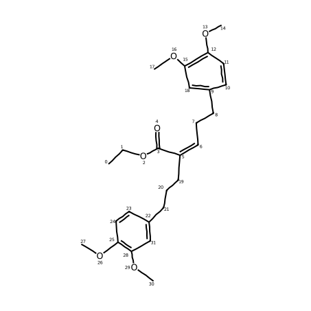 CCOC(=O)C(=CCCc1ccc(OC)c(OC)c1)CCCc1ccc(OC)c(OC)c1